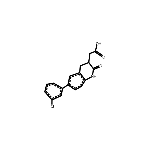 O=C(O)CC1Cc2cc(-c3cccc(Cl)c3)ccc2NC1=O